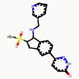 CCCCS(=O)(=O)C1Cc2cc(-c3ccc(=O)[nH]n3)ccc2C1NCc1cccnc1